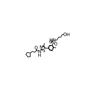 Cc1ccc(-c2sc(NC(=O)CCC3CCCC3)nc2C)cc1S(=O)(=O)NCCCCO